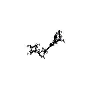 CCC(=O)NCCNC(=O)/N=C(/N)NCCC[C@@H](NC(=O)C(C)c1cccc(OCCCCNc2c(NCCNC(=O)[C@@H](CCCCN)NCN3CCN(CC(=O)O)CCN(CC(=O)O)CCN(CC(=O)O)CC3)c(=O)c2=O)c1)C(=O)NCc1ccc(O)cc1